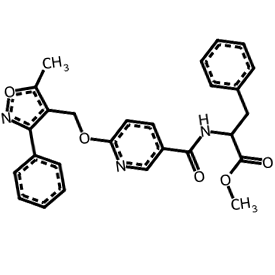 COC(=O)C(Cc1ccccc1)NC(=O)c1ccc(OCc2c(-c3ccccc3)noc2C)nc1